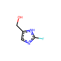 OCc1cnc(F)[nH]1